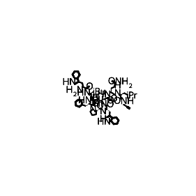 C#CCNC(=O)[C@H](CC(C)C)NC(=O)[C@H](CCC(N)=O)NC(=O)[C@@H](NC(=O)[C@H](Cc1c[nH]c2ccccc12)NC(=O)[C@@H]1CCCN1C(=O)[C@H](Cc1ccccc1)NC(=O)[C@@H](NC(=O)[C@@H](N)Cc1c[nH]c2ccccc12)C(C)CC)C(C)CC